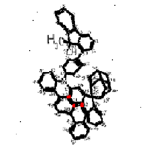 CC1(C)c2ccccc2-c2cccc(-c3ccc(N(c4ccc5c(c4)C4(c6ccccc6-5)C5CC6CC(C5)CC4C6)c4ccccc4-c4ccc5c(ccc6ccccc65)c4)cc3)c21